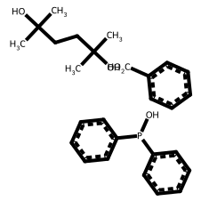 CC(C)(O)CCC(C)(C)O.O=C(O)c1ccccc1.OP(c1ccccc1)c1ccccc1